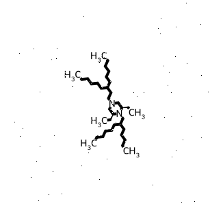 CCCCCCC(CCCCCC)CCN1C[C@@H](CC)N(CC(CCCCC)CCCCCC)[C@@H](CC)C1